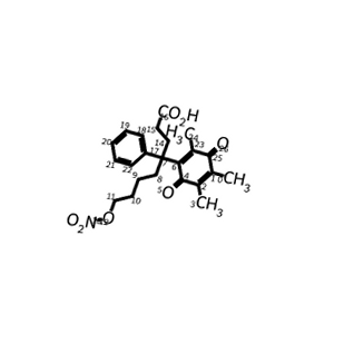 CC1=C(C)C(=O)C(C(CCCCO[N+](=O)[O-])(CCC(=O)O)c2ccccc2)=C(C)C1=O